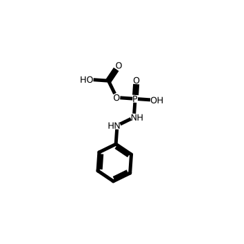 O=C(O)OP(=O)(O)NNc1ccccc1